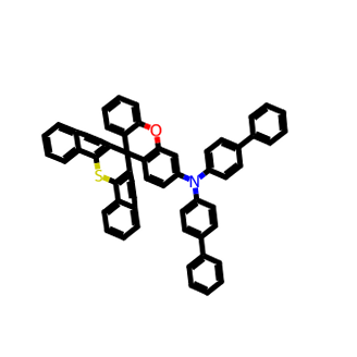 c1ccc(-c2ccc(N(c3ccc(-c4ccccc4)cc3)c3ccc4c(c3)Oc3ccccc3C43c4ccc5ccccc5c4Sc4c3ccc3ccccc43)cc2)cc1